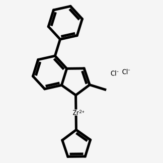 CC1=Cc2c(-c3ccccc3)cccc2[CH]1[Zr+2][C]1=CC=CC1.[Cl-].[Cl-]